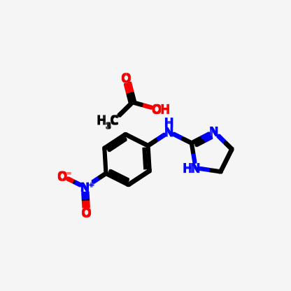 CC(=O)O.O=[N+]([O-])c1ccc(NC2=NCCN2)cc1